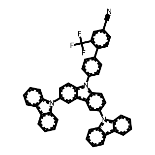 N#Cc1ccc(-c2ccc(-n3c4ccc(-n5c6ccccc6c6ccccc65)cc4c4cc(-n5c6ccccc6c6ccccc65)ccc43)cc2)c(C(F)(F)F)c1